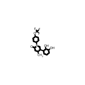 Cc1cc(=O)n(-c2ccc(OC(F)(F)F)cc2)cc1-c1cccc(O)c1O